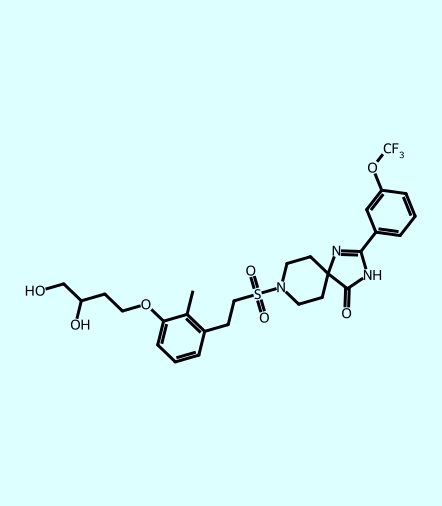 Cc1c(CCS(=O)(=O)N2CCC3(CC2)N=C(c2cccc(OC(F)(F)F)c2)NC3=O)cccc1OCCC(O)CO